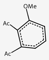 COc1cccc(C(C)=O)c1C(C)=O